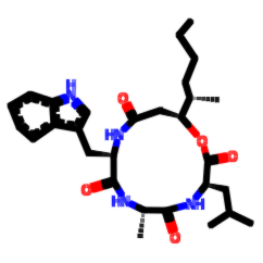 CCCC[C@H](C)[C@@H]1CC(=O)N[C@H](Cc2c[nH]c3ccccc23)C(=O)N[C@@H](C)C(=O)N[C@H](CC(C)C)C(=O)O1